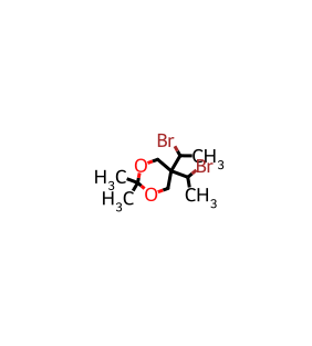 CC(Br)C1(C(C)Br)COC(C)(C)OC1